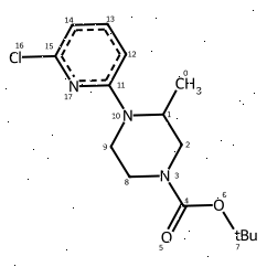 CC1CN(C(=O)OC(C)(C)C)CCN1c1cccc(Cl)n1